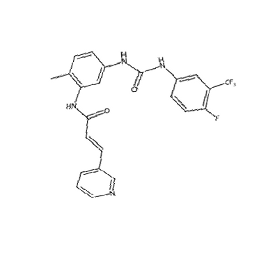 Cc1ccc(NC(=O)Nc2ccc(F)c(C(F)(F)F)c2)cc1NC(=O)/C=C/c1cccnc1